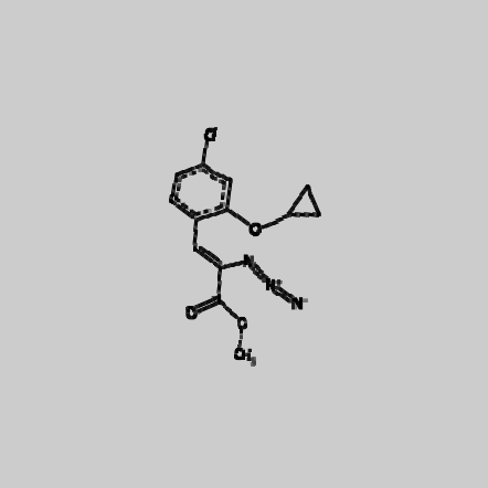 COC(=O)/C(=C/c1ccc(Cl)cc1OC1CC1)N=[N+]=[N-]